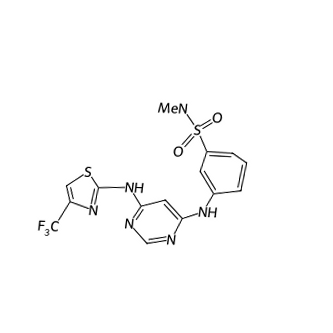 CNS(=O)(=O)c1cccc(Nc2cc(Nc3nc(C(F)(F)F)cs3)ncn2)c1